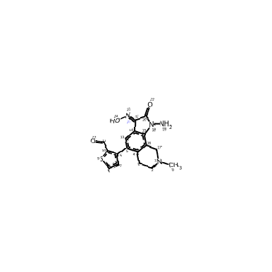 CN1CCc2c(-c3ccsc3C=O)cc3c(c2C1)N(N)C(=O)/C3=N/O